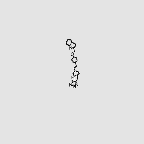 C(=C\c1ccc(OCc2ccc3ccccc3n2)cc1)/c1ccc(Cc2nnn[nH]2)cc1